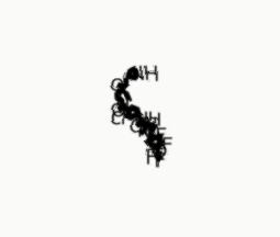 Cn1c(-c2ccc(OC(F)F)c(F)c2F)cnc1C(=O)Nc1ccc(C(=O)N2CCC(C(=O)CC[C@@H]3CCNC3)CC2)c(Cl)c1